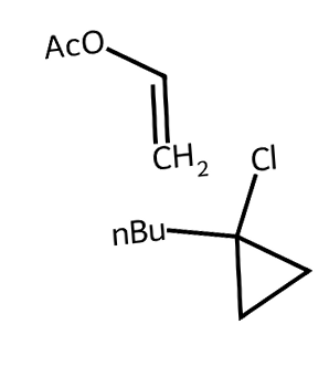 C=COC(C)=O.CCCCC1(Cl)CC1